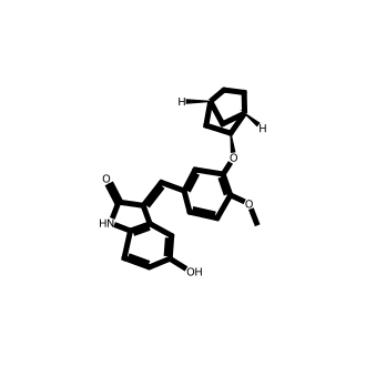 COc1ccc(/C=C2/C(=O)Nc3ccc(O)cc32)cc1O[C@H]1C[C@@H]2CC[C@H]1C2